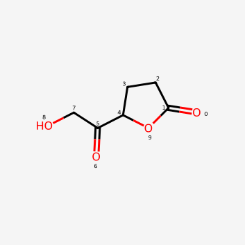 O=C1CCC(C(=O)CO)O1